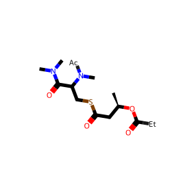 CCC(=O)O[C@H](C)CC(=O)SCC(C(=O)N(C)C)N(C)C(C)=O